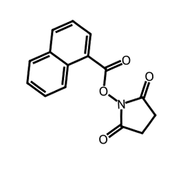 O=C(ON1C(=O)CCC1=O)c1cccc2ccccc12